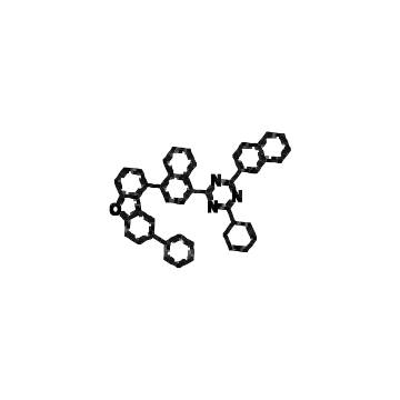 C1=CCC(c2nc(-c3ccc4ccccc4c3)nc(-c3ccc(-c4cccc5oc6ccc(-c7ccccc7)cc6c45)c4ccccc34)n2)C=C1